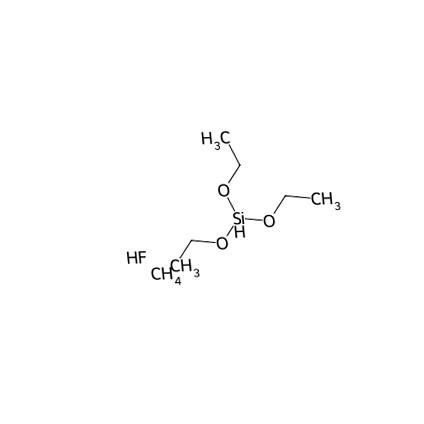 C.CCO[SiH](OCC)OCC.F